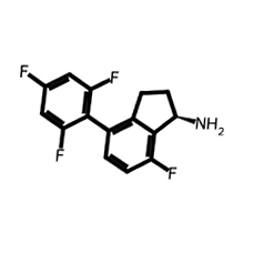 N[C@@H]1CCc2c(-c3c(F)cc(F)cc3F)ccc(F)c21